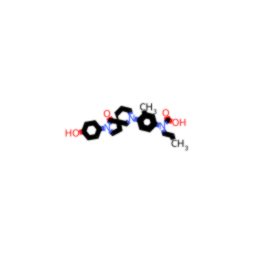 CCCN(C(=O)O)c1ccc(N2CCC[C@]3(CCN(C4CCC(O)CC4)C3=O)C2)c(C)c1